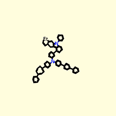 C/C=C\C1Cc2c(n(-c3ccccc3)c3cccc(-c4cccc(N(c5ccc(C6=CC=C(c7ccccc7)C=CC6)cc5)c5ccc(-c6ccc(-c7ccccc7)cc6)cc5)c4)c23)C=C1CC